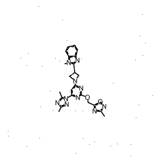 Cc1noc(COc2nc(N3CC(c4nc5ccccc5n4C)C3)cc(-n3nc(C)nc3C)n2)n1